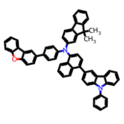 CC1(C)c2ccccc2-c2ccc(N(c3ccc(-c4ccc5oc6ccccc6c5c4)cc3)c3ccc(-c4ccc5c(c4)c4ccccc4n5-c4ccccc4)c4ccccc34)cc21